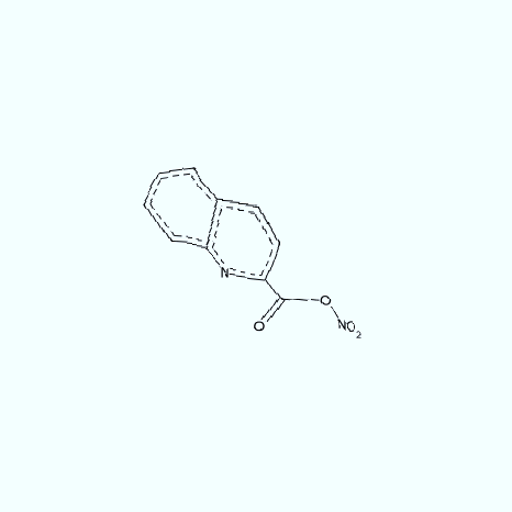 O=C(O[N+](=O)[O-])c1ccc2ccccc2n1